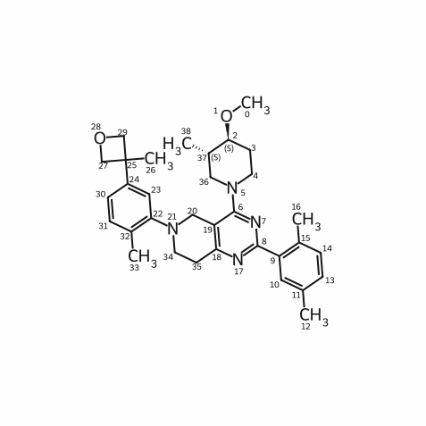 CO[C@H]1CCN(c2nc(-c3cc(C)ccc3C)nc3c2CN(c2cc(C4(C)COC4)ccc2C)CC3)C[C@@H]1C